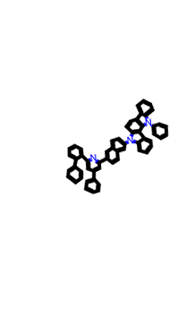 c1ccc(-c2cc(-c3ccc4cc(-n5c6ccccc6c6c5ccc5c7ccccc7n(-c7ccccc7)c56)ccc4c3)nc(-c3ccccc3-c3ccccc3)c2)cc1